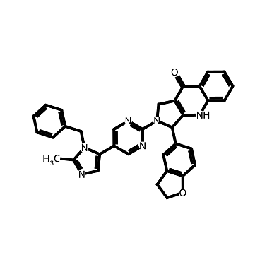 Cc1ncc(-c2cnc(N3Cc4c([nH]c5ccccc5c4=O)C3c3ccc4c(c3)CCO4)nc2)n1Cc1ccccc1